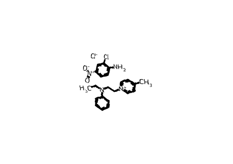 CCN(CC[n+]1ccc(C)cc1)c1ccccc1.Nc1ccc([N+](=O)[O-])cc1Cl.[Cl-]